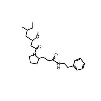 CCC(C)CC(CC(=O)N1CCCC1CCC(=O)NCCc1ccccc1)OC